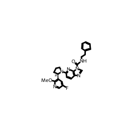 COc1ncc(F)cc1[C@H]1CCCN1c1ccc2ncn(C(=O)NCCc3ccccc3)c2n1